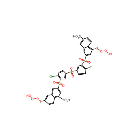 O=S(=O)(O)c1ccc2c(SOOO)cc(S(=O)(=O)c3cc(S(=O)(=O)c4ccc(Cl)c(S(=O)(=O)c5cc(S(=O)(=O)O)c6ccc(SOOO)cc6c5)c4)ccc3Cl)cc2c1